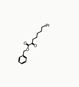 CC(C)CCCCCC(=O)C(=O)OCc1ccccc1